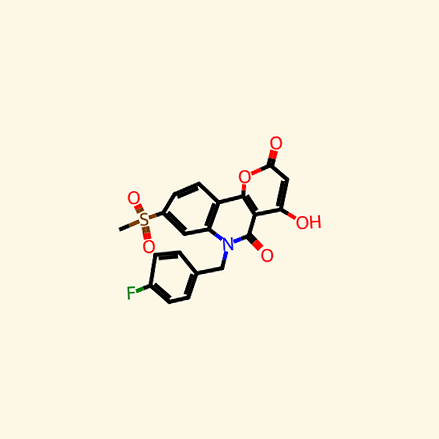 CS(=O)(=O)c1ccc2c3oc(=O)cc(O)c3c(=O)n(Cc3ccc(F)cc3)c2c1